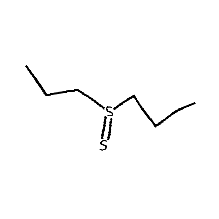 CCCS(=S)CCC